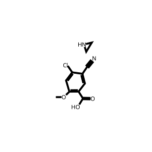 C1CN1.COc1cc(Cl)c(C#N)cc1C(=O)O